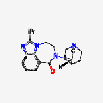 CC(C)c1nc2cccc3c2n1CCN([C@@H]1CN2CCC1CC2)C3=O